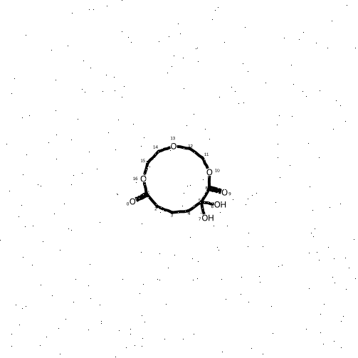 O=C1CCCC(O)(O)C(=O)OCCOCCO1